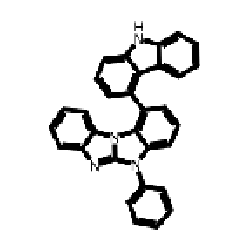 c1ccc(-n2c3cccc(-c4cccc5[nH]c6ccccc6c45)c3n3c4ccccc4nc23)cc1